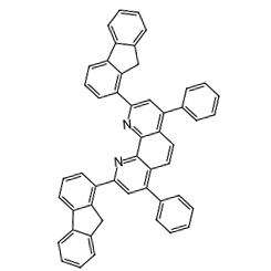 c1ccc(-c2cc(-c3cccc4c3Cc3ccccc3-4)nc3c2ccc2c(-c4ccccc4)cc(-c4cccc5c4Cc4ccccc4-5)nc23)cc1